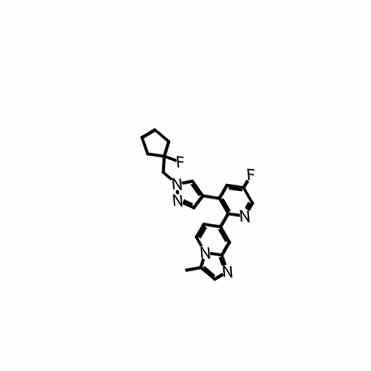 Cc1cnc2cc(-c3ncc(F)cc3-c3cnn(CC4(F)CCCC4)c3)ccn12